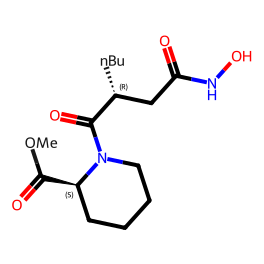 CCCC[C@H](CC(=O)NO)C(=O)N1CCCC[C@H]1C(=O)OC